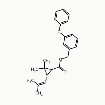 CC(C)=C[C@H]1C(C(=O)OCc2cccc(Oc3ccccc3)c2)C1(C)C